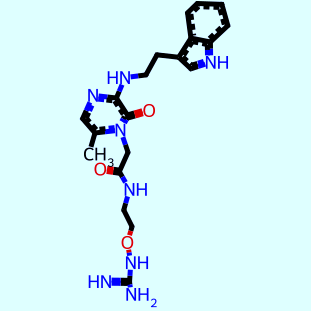 Cc1cnc(NCCc2c[nH]c3ccccc23)c(=O)n1CC(=O)NCCONC(=N)N